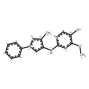 COc1nc(Nc2cn(-c3ccccc3)nc2C)ncc1Cl